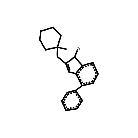 CC1(CC2=Cc3c(-c4ccccc4)cccc3[CH]2[Zr])CCCCC1